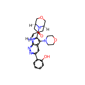 C=CC(=O)N1[C@@H]2COC[C@H]1CC(c1[nH]c3nnc(-c4ccccc4O)cc3c1N1CCOCC1)C2